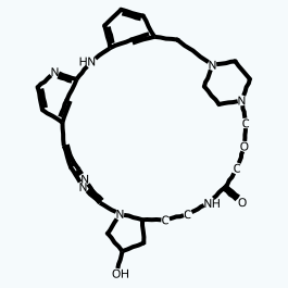 O=C1COCN2CCN(CC2)Cc2cccc(c2)Nc2cc(ccn2)-c2cnc(nc2)N2CC(O)CC2CCN1